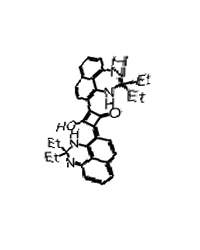 CCC1(CC)N=c2cccc3cc/c(=C4\C(=O)C(c5ccc6cccc7c6c5NC(CC)(CC)N7)=C4O)c(c23)N1